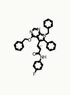 O=C(/C=C/c1c(-c2ccccc2)n(Cc2ccccc2)c2ncnc(OCc3ccccc3)c12)Nc1ccc(F)cc1